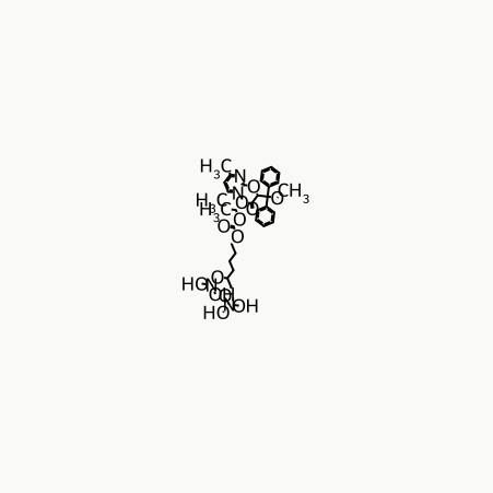 COC(c1ccccc1)(c1ccccc1)[C@H](Oc1nc(C)cc(C)n1)C(=O)OC(C)OC(=O)OCCCCC(CON(O)O)ON(O)O